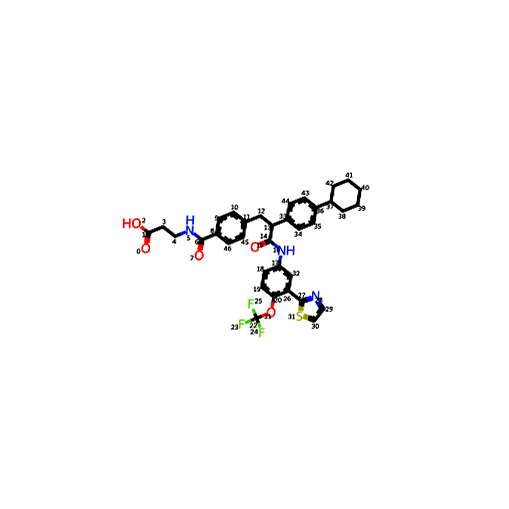 O=C(O)CCNC(=O)c1ccc(CC(C(=O)Nc2ccc(OC(F)(F)F)c(-c3nccs3)c2)c2ccc(C3CCCCC3)cc2)cc1